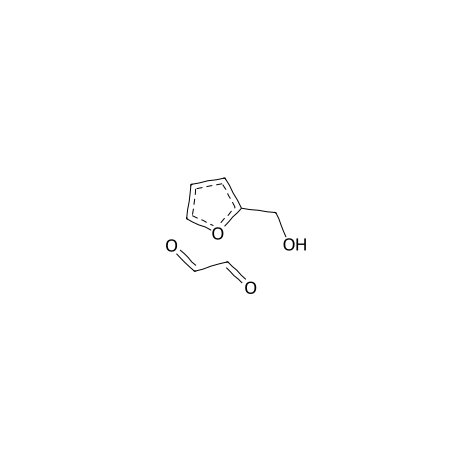 O=CC=O.OCc1ccco1